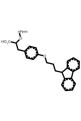 CCCCCOC(Cc1ccc(OCCCC2c3ccccc3-c3ccccc32)cc1)C(=O)O